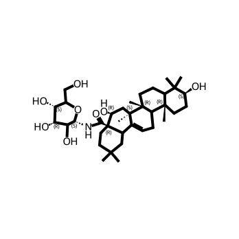 CC1(C)CC[C@@]2(C(=O)N[C@H]3OC(CO)[C@@H](O)[C@@H](O)C3O)C(C1)C1=CCC3[C@@]4(C)CC[C@H](O)C(C)(C)C4CC[C@@]3(C)[C@]1(C)C[C@H]2O